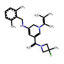 C=C(C1=CN(C(C)=C(C)C)CC(NCc2c(C)cccc2C)=C1)N1CC(C)(F)C1